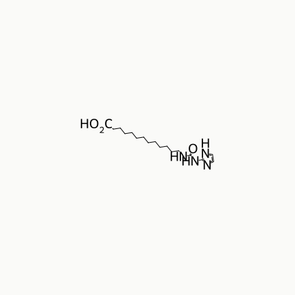 O=C(O)CCCCCCCCCCCCNC(=O)Nc1ncc[nH]1